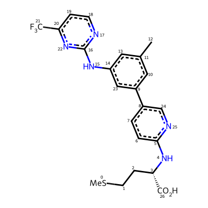 CSCC[C@H](Nc1ccc(-c2cc(C)cc(Nc3nccc(C(F)(F)F)n3)c2)cn1)C(=O)O